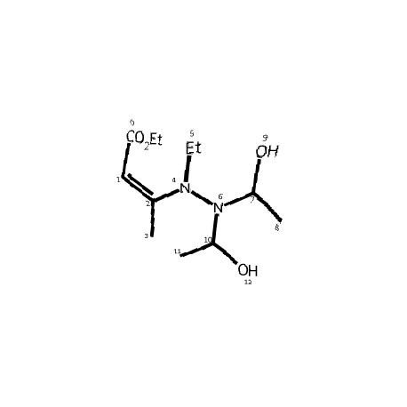 CCOC(=O)/C=C(/C)N(CC)N(C(C)O)C(C)O